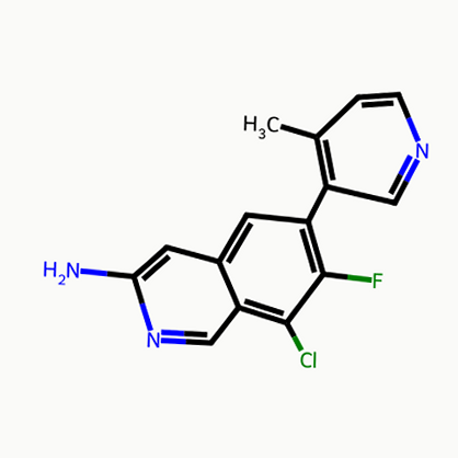 Cc1ccncc1-c1cc2cc(N)ncc2c(Cl)c1F